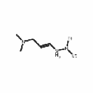 CCN(CC)[SiH2]C=CCN(C)C